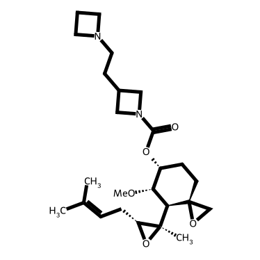 CO[C@@H]1[C@H](OC(=O)N2CC(CCN3CCC3)C2)CC[C@]2(CO2)[C@H]1[C@@]1(C)O[C@@H]1CC=C(C)C